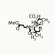 COC(=O)CCNC(=O)[C@@H]1OP(=O)(NC(C)C(=O)O)OCC1(C)C